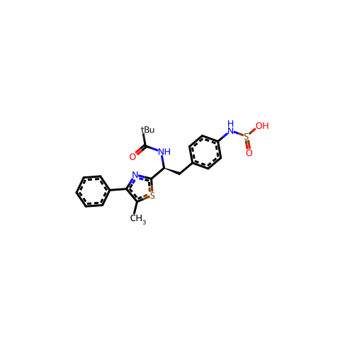 Cc1sc([C@H](Cc2ccc(NS(=O)O)cc2)NC(=O)C(C)(C)C)nc1-c1ccccc1